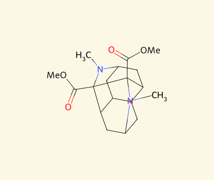 COC(=O)C12C3CC4CC5C3CC(CC5C1(C(=O)OC)N4C)N2C